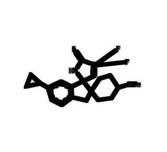 COC1CCC2(CC1)Cc1ccc(C3CC3)cc1C21NC(=S)N2CC(F)(F)CN=C21